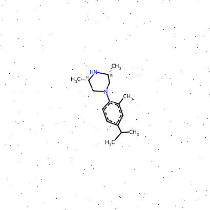 Cc1cc(C(C)C)ccc1N1C[C@@H](C)N[C@@H](C)C1